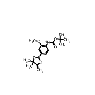 C=C1OB(c2ccc(NC(=O)OC(C)(C)C)c(OC)c2)OC1(C)C